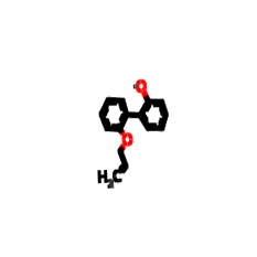 C=CCOc1ccccc1-c1ccccc1[O]